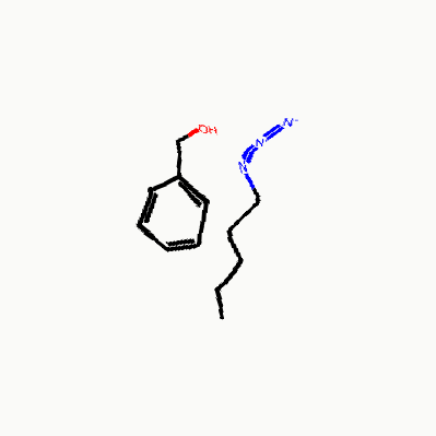 CCCCCN=[N+]=[N-].OCc1ccccc1